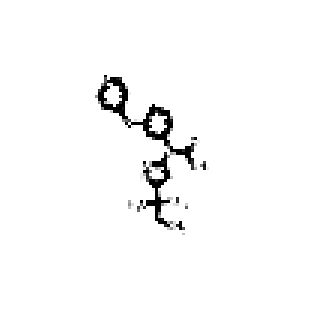 CCC(C)(C)c1cc(N(C(N)=O)c2cccc(Sc3ccncc3)c2)on1